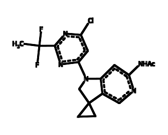 CC(=O)Nc1cc2c(cn1)C1(CC1)CN2c1cc(Cl)nc(C(C)(F)F)n1